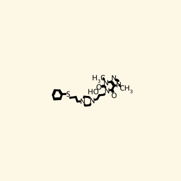 Cn1cnc2c1c(=O)n(CC(O)CN1CCN(CCCSc3ccccc3)CC1)c(=O)n2C